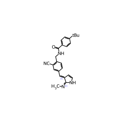 C/N=C1/NC=C/C1=C\c1ccc(CNC(=O)c2ccc(C(C)(C)C)cc2)c(C#N)c1